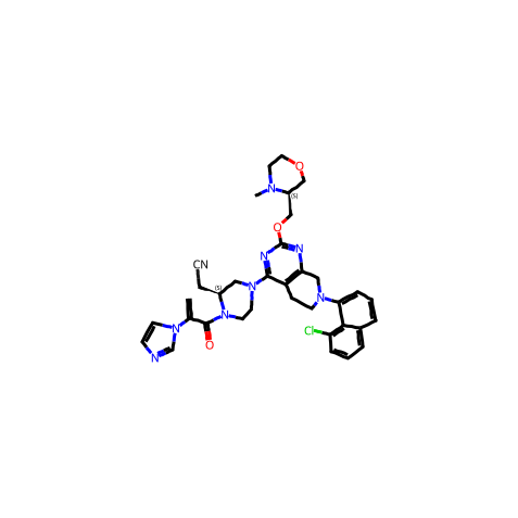 C=C(C(=O)N1CCN(c2nc(OC[C@@H]3COCCN3C)nc3c2CCN(c2cccc4cccc(Cl)c24)C3)C[C@@H]1CC#N)n1ccnc1